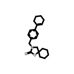 O=C1OC2(CCCCC2)CN1Cc1ccc(C2=CCCCC2)cc1